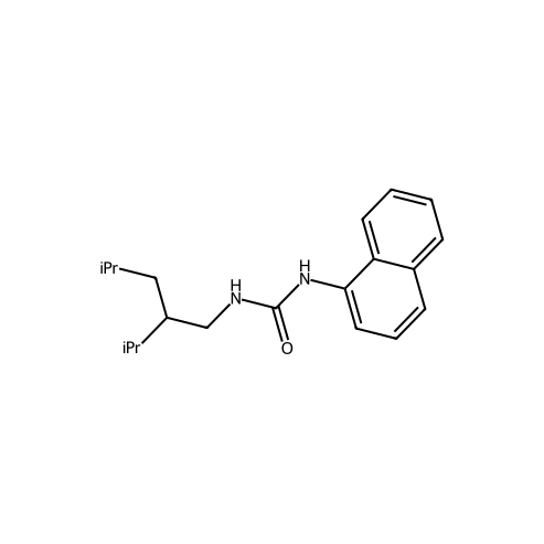 CC(C)CC(CNC(=O)Nc1cccc2ccccc12)C(C)C